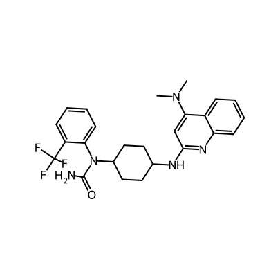 CN(C)c1cc(NC2CCC(N(C(N)=O)c3ccccc3C(F)(F)F)CC2)nc2ccccc12